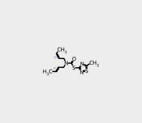 C/C=C\CN(C/C=C/C)C(=O)Sc1nsc(C)n1